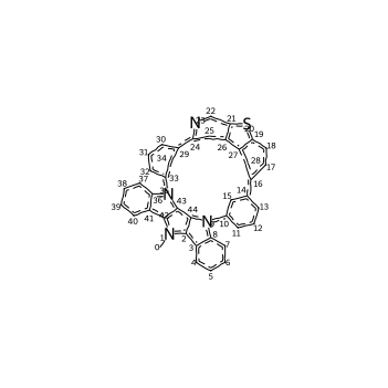 Cn1c2c3ccccc3n3c4cccc(c4)c4ccc5sc6cnc(cc6c5c4)c4cccc(c4)n4c5ccccc5c1c4c23